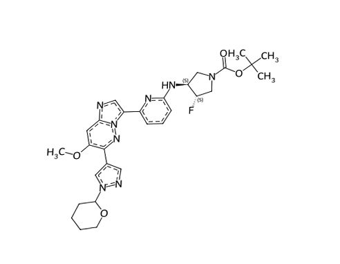 COc1cc2ncc(-c3cccc(N[C@H]4CN(C(=O)OC(C)(C)C)C[C@@H]4F)n3)n2nc1-c1cnn(C2CCCCO2)c1